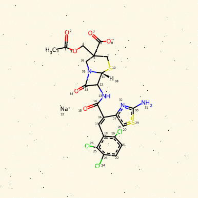 CC(=O)OCC1(C(=O)[O-])CS[C@@H]2C(NC(=O)C(=Cc3c(Cl)ccc(Cl)c3Cl)c3csc(N)n3)C(=O)N2C1.[Na+]